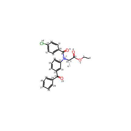 CCOC(=O)[C@H](C)N(C(=O)c1ccc(Cl)cc1)c1cccc(C(=O)c2ccccc2)c1